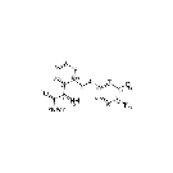 CNC(=O)C(=N)c1ccccc1COc1ccc(F)c(Cl)c1